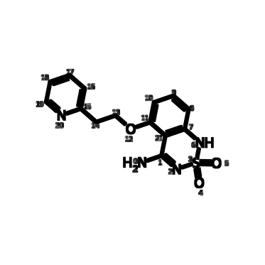 NC1=NS(=O)(=O)Nc2cccc(OCCc3ccccn3)c21